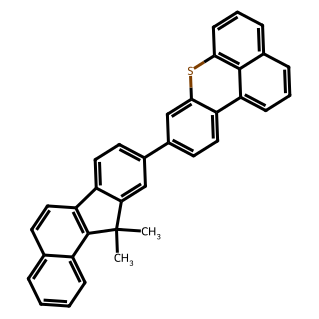 CC1(C)c2cc(-c3ccc4c(c3)Sc3cccc5cccc-4c35)ccc2-c2ccc3ccccc3c21